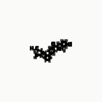 CCCN(Cc1ccccc1N1CCN(C(=O)C(N)Cc2ccc(Cl)cc2)CC1)CC1CC1